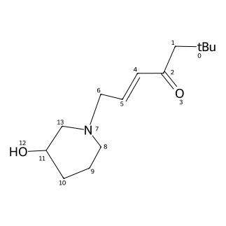 CC(C)(C)CC(=O)/C=C/CN1CCCC(O)C1